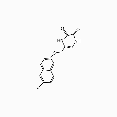 O=c1[nH]cc(CSc2ccc3cc(F)ccc3c2)[nH]c1=O